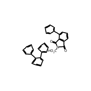 O=C(O)N1C(=O)c2cccc(-c3ccccc3)c2C1=O.c1ccc(-c2ccccc2-c2ccccc2)cc1